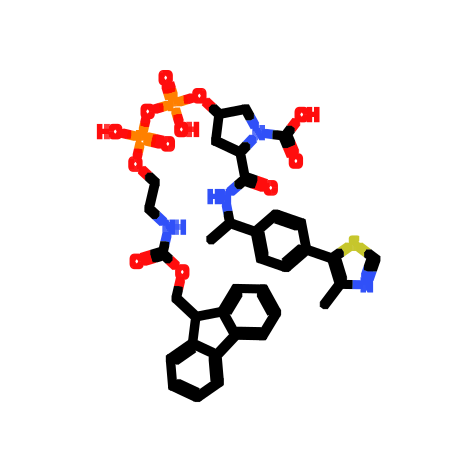 Cc1ncsc1-c1ccc(C(C)NC(=O)C2CC(OP(=O)(O)OP(=O)(O)OCCNC(=O)OCC3c4ccccc4-c4ccccc43)CN2C(=O)O)cc1